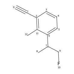 C#Cc1cccc([C](C)CF)c1C